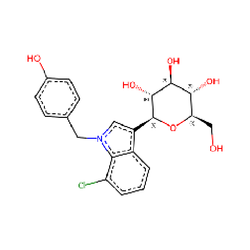 OC[C@H]1O[C@@H](c2cn(Cc3ccc(O)cc3)c3c(Cl)cccc23)[C@H](O)[C@@H](O)[C@@H]1O